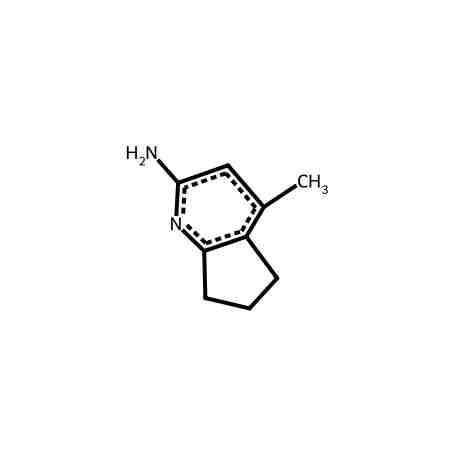 Cc1cc(N)nc2c1CCC2